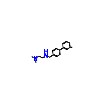 CN(C)CCNCc1ccc(-c2c[c]ccc2)cc1